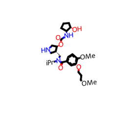 COCCCOc1cc(C(=O)N(C[C@@H]2CNC[C@H]2OC(=O)N[C@H]2CCC[C@@H]2O)C(C)C)ccc1OC